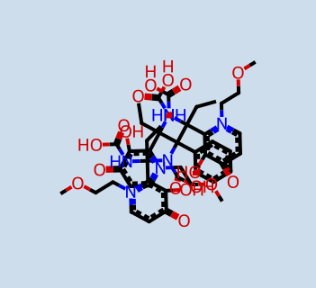 CCC(NC(=O)O)(c1c(O)c(=O)ccn1CCOC)N(C(=O)O)C(c1ccccc1)(C(CC)(NC(=O)O)c1c(O)c(=O)ccn1CCOC)C(CC)(NC(=O)O)c1c(O)c(=O)ccn1CCOC